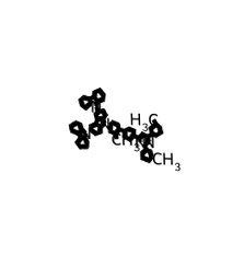 Cc1cccc(-c2cc(-c3ccc(-c4ccc(-n5c6ccc(-n7c8ccccc8c8ccccc87)cc6c6cc(-n7c8ccccc8c8ccccc87)ccc65)cc4C)cc3)nc(-c3cccc(C)c3)n2)c1